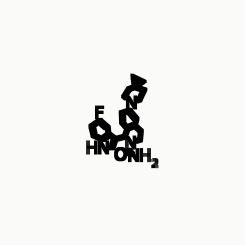 NC(=O)N1CCc2cc(N3CCC4(CC3)CC4)ccc2C1c1c[nH]c2ccc(F)cc12